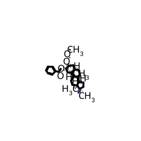 C/C=C1\CC[C@H]2[C@@H]3CC[C@H]4C[C@H](OCOC)[C@@H](OC(=O)c5ccccc5)C[C@]4(C)[C@H]3CC[C@]12C